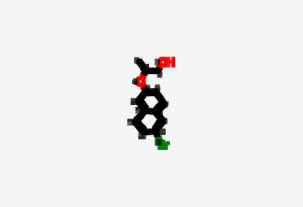 CC(CO)Oc1ccc2cc(Br)ccc2c1